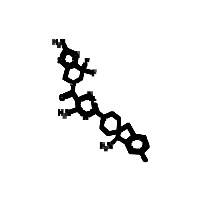 Cc1ccc2c(c1)[C@@H](N)C1(CCN(c3cnc(C(=O)N4Cc5sc(N)nc5C(F)(F)C4)c(N)n3)CC1)C2